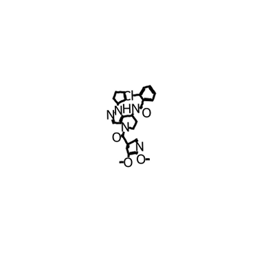 COc1cc(C(=O)N2CCC(NC(=O)c3ccccc3Cl)c3c2cnn3C2CCCC2)cnc1OC